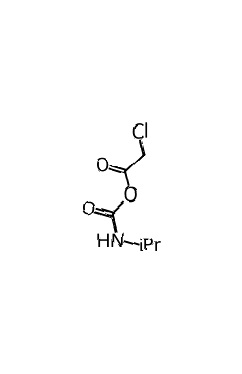 CC(C)NC(=O)OC(=O)CCl